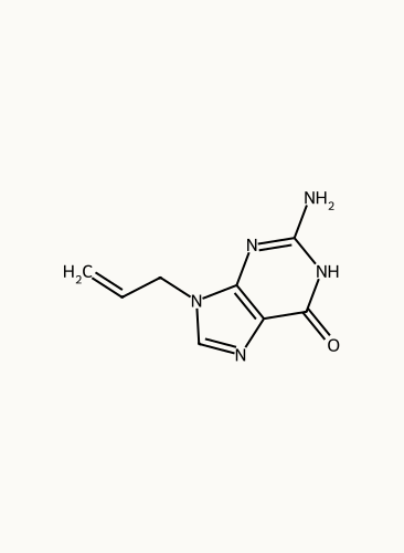 C=CCn1cnc2c(=O)[nH]c(N)nc21